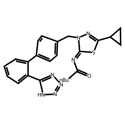 CCCCC(=O)N=c1sc(C2CC2)nn1Cc1ccc(-c2ccccc2-c2nnn[nH]2)cc1